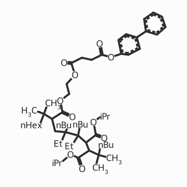 CCCCCCC(C)(C)C(CC(CC)(CCCC)C(CC)(CCCC)C(C(=O)OC(C)C)C(C(=O)OC(C)C)C(C)(C)CCCC)C(=O)OCCOC(=O)CCC(=O)Oc1ccc(-c2ccccc2)cc1